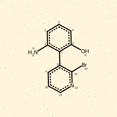 Nc1cccc(O)c1-c1cccnc1Br